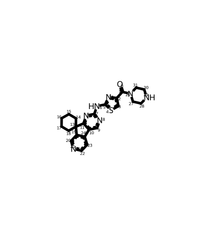 O=C(c1csc(Nc2ncc3c(n2)C2(CCCCC2)c2cnccc2-3)n1)N1CCNCC1